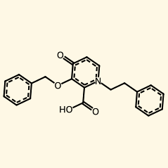 O=C(O)c1c(OCc2ccccc2)c(=O)ccn1CCc1ccccc1